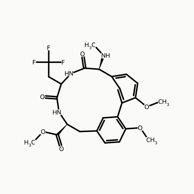 CN[C@@H]1C(=O)NC(CC(F)(F)F)C(=O)N[C@H](C(=O)OC)Cc2ccc(OC)c(c2)-c2cc1ccc2OC